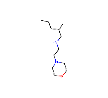 CCCC(C)CNCCN1CCOCC1